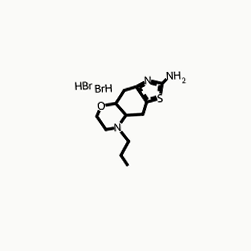 Br.Br.CCCN1CCOC2Cc3nc(N)sc3CC21